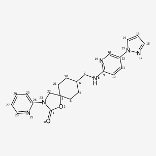 O=C1OC2(CCC(CNc3ccc(-n4cccn4)cn3)CC2)CN1c1ccccn1